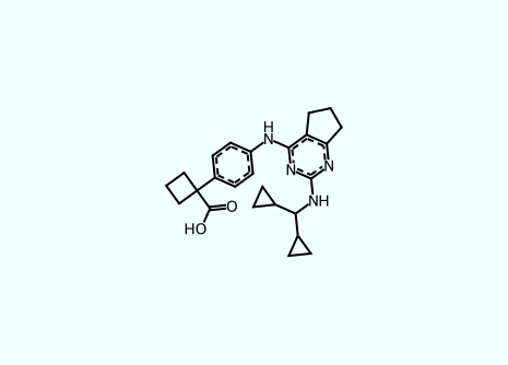 O=C(O)C1(c2ccc(Nc3nc(NC(C4CC4)C4CC4)nc4c3CCC4)cc2)CCC1